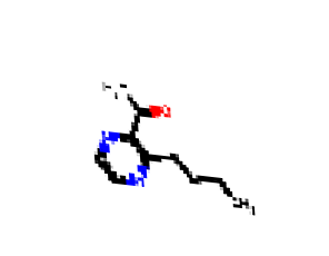 CCCCc1nccnc1C(C)=O